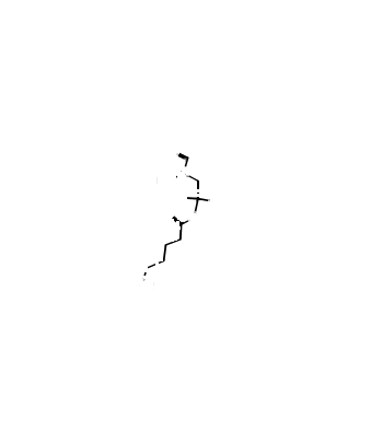 CCCCCC(=O)OC(C)(C)CN(O)C=O